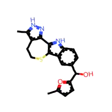 Cc1ccc(C(O)c2ccc3[nH]c4c(c3c2)SCCc2c-4n[nH]c2C)o1